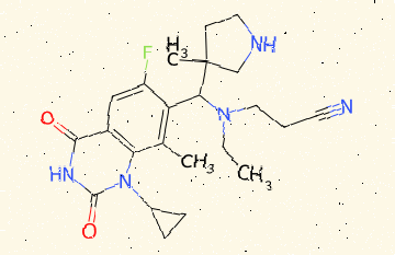 CCN(CCC#N)C(c1c(F)cc2c(=O)[nH]c(=O)n(C3CC3)c2c1C)C1(C)CCNC1